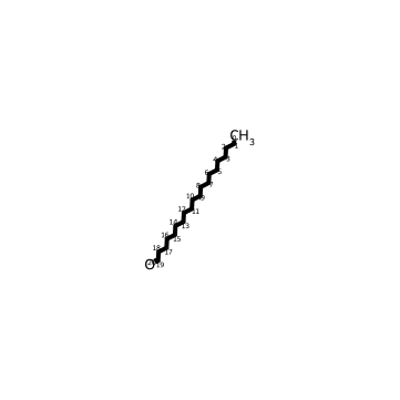 CCCCCCCCC[CH]CCCCCCCCCC=O